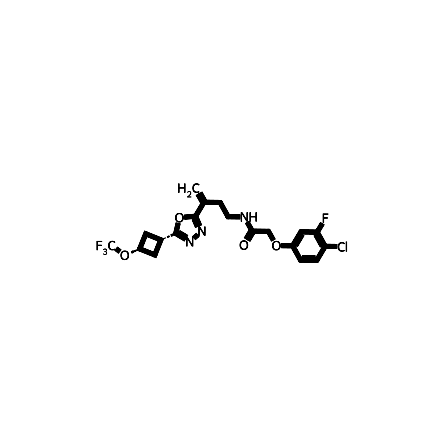 C=C(CCNC(=O)COc1ccc(Cl)c(F)c1)c1nnc([C@H]2C[C@@H](OC(F)(F)F)C2)o1